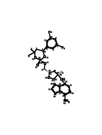 CC1(C)C[C@@H](c2cc(F)cc(F)c2)O[P@@](=O)(OC[C@@H]2C[C@@](C)(O)[C@H](n3cnc4c(N)ncnc43)O2)O1